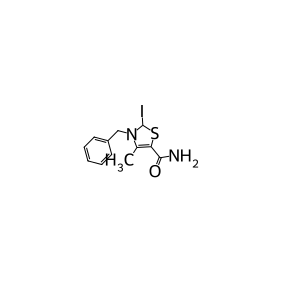 CC1=C(C(N)=O)SC(I)N1Cc1ccccc1